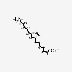 C=C.CCCCCCCC/C=C\CCCCCCCCCCCCN